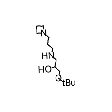 CC(C)(C)OCC(O)CNCCCN1CCC1